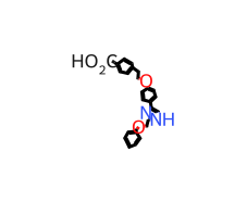 O=C(O)c1ccc(CCOc2ccc(-c3c[nH]c(COc4ccccc4)n3)cc2)cc1